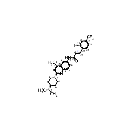 Cc1cc(N2CCC(N(C)C)CC2)nc2ccc(NC(=O)/C=C/c3ccc(C(F)(F)F)cc3F)cc12